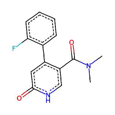 CN(C)C(=O)c1c[nH]c(=O)cc1-c1ccccc1F